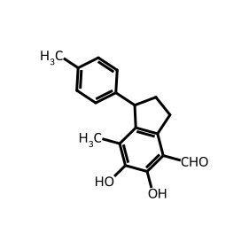 Cc1ccc(C2CCc3c(C=O)c(O)c(O)c(C)c32)cc1